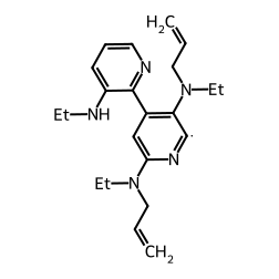 C=CCN(CC)c1cc(-c2ncccc2NCC)c(N(CC)CC=C)[c]n1